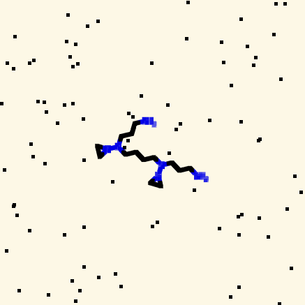 NCCCN(CCCCN(CCCN)N1CC1)N1CC1